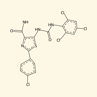 [NH]C(=O)c1nc(-c2ccc(Cl)cc2)sc1NC(=O)Nc1c(Cl)cc(Cl)cc1Cl